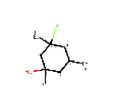 CCC1CC(C)(O)CC(F)(CC)C1